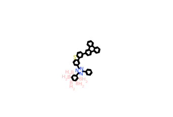 Bc1c(B)c(B)c(-c2nc(-c3ccccc3)nc(-c3ccc4sc5ccc(-c6ccc7c8ccccc8c8ccccc8c7c6)cc5c4c3)n2)c(B)c1B